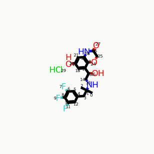 CC(C)(Cc1cc(F)c(F)c(F)c1)NCC(O)c1cc(O)cc2c1OCC(=O)N2.Cl